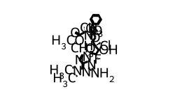 CCN(CC)c1nc(N)nc2c1ncn2[C@@H]1O[C@](CCl)(CO[P@](=O)(N[C@@H](C)C(=O)OC(C)C)Oc2ccccc2)[C@@H](O)[C@@H]1F